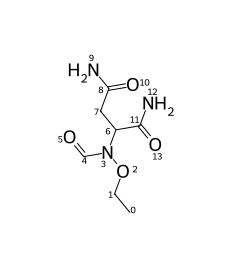 CCON(C=O)C(CC(N)=O)C(N)=O